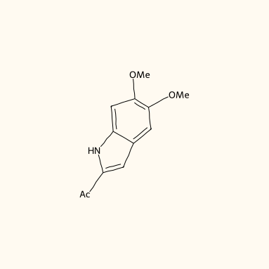 COc1cc2cc(C(C)=O)[nH]c2cc1OC